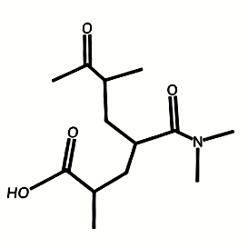 CC(=O)C(C)CC(CC(C)C(=O)O)C(=O)N(C)C